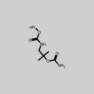 CCCOC(=O)NCC(C)(C)OC(N)=O